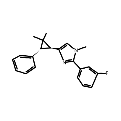 Cn1cc([C@H]2[C@H](c3ccccc3)C2(C)C)nc1-c1cccc(F)c1